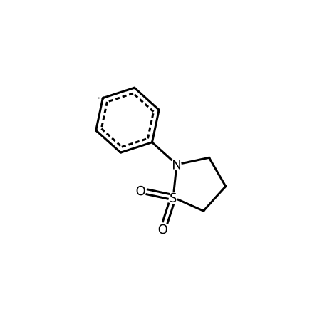 O=S1(=O)CCCN1c1cc[c]cc1